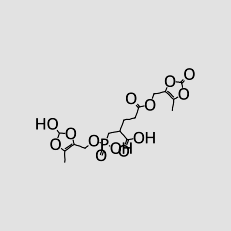 CC1=C(COP(=O)(O)CC(CCC(=O)OCc2oc(=O)oc2C)C(=O)O)OC(O)O1